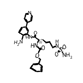 Nc1ccc(-c2ccncc2)cc1NC(=O)[C@H](CCCCNS(N)(=O)=O)NC(=O)OCc1ccccc1